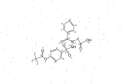 CC(C)(C)C(=O)Oc1ccc(S(=O)(=O)NN(CC(=O)O)C(=O)c2ccccc2)cc1